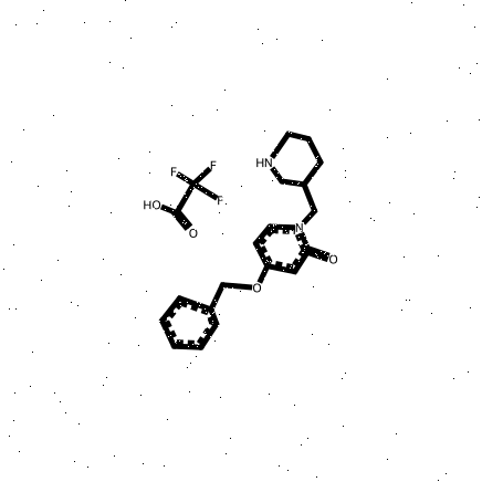 O=C(O)C(F)(F)F.O=c1cc(OCc2ccccc2)ccn1CC1CCCNC1